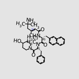 C/C(=C\C(=O)N(C)[C@H](Cc1ccc2ccccc2c1)C(=O)N(C)[C@H](Cc1ccccc1)C(=O)N1CCC(O)CC1)CC(C)(C)N